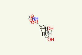 CC[C@H]1[C@@H](O)[C@@H]2[C@H](CC[C@]3(C)[C@@H](CCCOC(=O)NS(=O)(=O)C(C)C)CC[C@@H]23)[C@@]2(C)CC[C@@H](O)C[C@@H]12